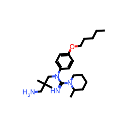 CCCCCOc1ccc(N(CC(C)(C)CN)C(=N)N2CCCCC2C)cc1